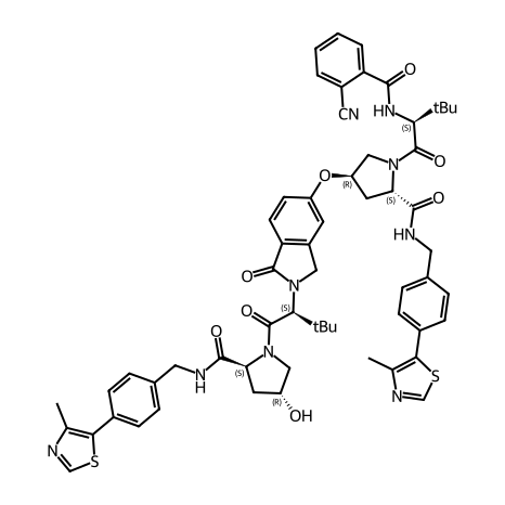 Cc1ncsc1-c1ccc(CNC(=O)[C@@H]2C[C@@H](Oc3ccc4c(c3)CN([C@H](C(=O)N3C[C@H](O)C[C@H]3C(=O)NCc3ccc(-c5scnc5C)cc3)C(C)(C)C)C4=O)CN2C(=O)[C@@H](NC(=O)c2ccccc2C#N)C(C)(C)C)cc1